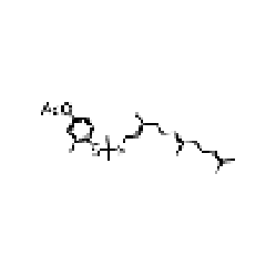 CC(=O)Oc1ccc(SC(C)(C)SC/C=C(\C)CC/C=C(\C)CCC=C(C)C)c(C)c1